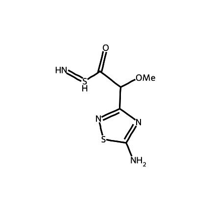 COC(C(=O)[SH]=N)c1nsc(N)n1